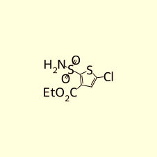 CCOC(=O)c1cc(Cl)sc1S(N)(=O)=O